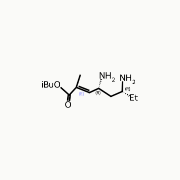 CC[C@@H](N)C[C@@H](N)/C=C(\C)C(=O)OCC(C)C